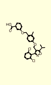 Cc1cc(OCc2c(-c3c(Cl)cccc3Cl)noc2C(C)C)ccc1COc1cccc(C(=O)O)c1